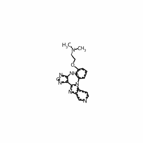 CN(C)CCOc1cccc(-n2c(-c3nonc3N)nc3cnccc32)c1